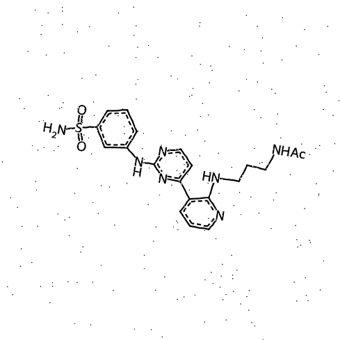 CC(=O)NCCCNc1ncccc1-c1ccnc(Nc2cccc(S(N)(=O)=O)c2)n1